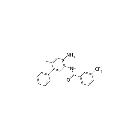 Cc1cc(N)c(NC(=O)c2cccc(C(F)(F)F)c2)cc1-c1ccccc1